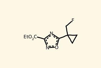 CCOC(=O)c1noc(C2(CF)CC2)n1